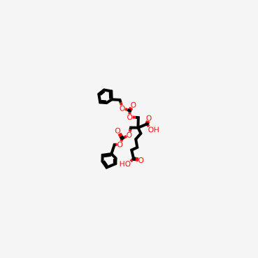 O=C(O)CCCCC(COC(=O)OCc1ccccc1)(COC(=O)OCc1ccccc1)C(=O)O